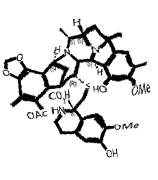 COc1cc2c(cc1O)CCN[C@@]2(CS[C@@H]1C2C[C@@H](c3c4c(c(C)c(OC(C)=O)c32)OCO4)N2C1[C@@H]1c3c(cc(C)c(OC)c3O)C3(C)C[C@@H]([C@@H]2C)N13)C(=O)O